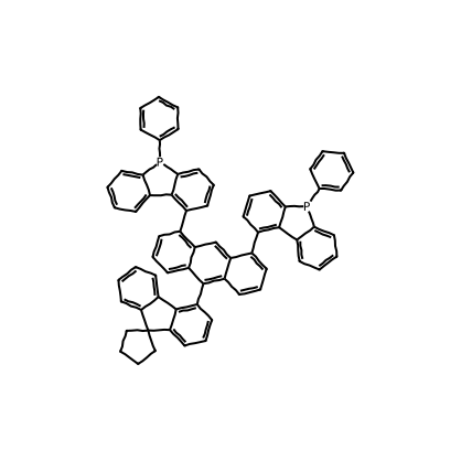 c1ccc(-p2c3ccccc3c3c(-c4cccc5c(-c6cccc7c6-c6ccccc6C76CCCC6)c6cccc(-c7cccc8c7c7ccccc7p8-c7ccccc7)c6cc45)cccc32)cc1